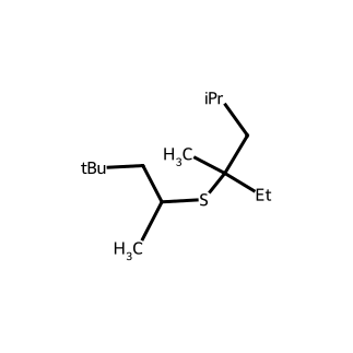 CCC(C)(CC(C)C)SC(C)CC(C)(C)C